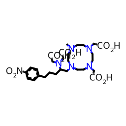 CN1CCN(CC(=O)O)CCN(CC(=O)O)CCN(CC(CCCc2ccc([N+](=O)[O-])cc2)N(CC(=O)O)CC(=O)O)CC1